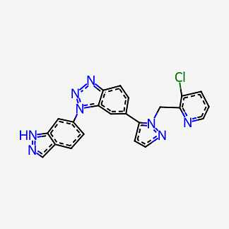 Clc1cccnc1Cn1nccc1-c1ccc2nnn(-c3ccc4cn[nH]c4c3)c2c1